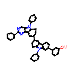 Oc1cccc(-c2ccc3c4cc(-c5ccc6c(c5)c5nc(-c7ccccc7)ncc5n6-c5ccccc5)ccc4n(-c4ccccc4)c3c2)c1